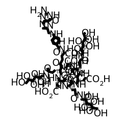 CSC[C@@H](NC(=O)[C@H](CCC(=O)NC[C@H](O)[C@@H](O)[C@H](O)[C@H](O)CO)NC(=O)[C@@H](CCC(=O)O)NC(=O)[C@H](CCC(=O)NC[C@H](O)[C@@H](O)[C@H](O)[C@H](O)CO)NC(=O)[C@@H](CCC(=O)O)NC(=O)[C@H](CCC(=O)NC[C@H](O)[C@@H](O)[C@H](O)[C@H](O)CO)NC(=O)CC[C@@H](NC(=O)c1ccc(NCc2cnc3nc(N)[nH]c(=O)c3n2)cc1)C(=O)O)C(=O)O